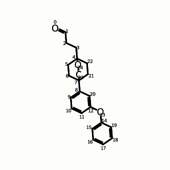 O=CCCC12CCC(c3cccc(Oc4ccccc4)c3)(CC1)CO2